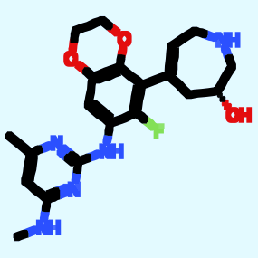 CNc1cc(C)nc(Nc2cc3c(c(C4=CCNC[C@H](O)C4)c2F)OCCO3)n1